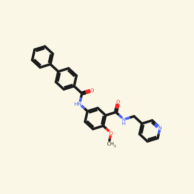 COc1ccc(NC(=O)c2ccc(-c3ccccc3)cc2)cc1C(=O)NCc1cccnc1